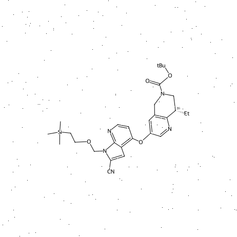 CC[C@H]1CN(C(=O)OC(C)(C)C)Cc2cc(Oc3ccnc4c3cc(C#N)n4COCC[Si](C)(C)C)cnc21